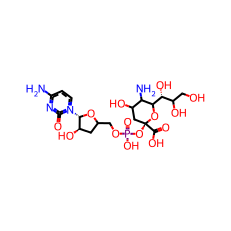 Nc1ccn([C@@H]2OC(COP(=O)(O)O[C@@]3(C(=O)O)CC(O)C(N)C([C@H](O)C(O)CO)O3)C[C@H]2O)c(=O)n1